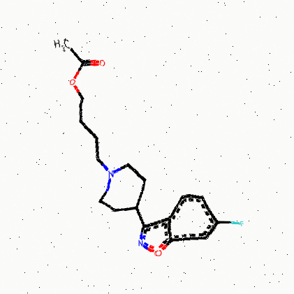 CC(=O)OCCCCN1CCC(c2noc3cc(F)ccc23)CC1